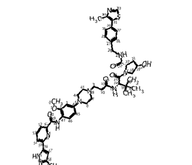 COc1cc(N2CCN(CCC(=O)N[C@H](C(=O)N3C[C@H](O)C[C@H]3C(=O)NCc3ccc(-c4scnc4C)cc3)C(C)(C)C)CC2)ccc1NC(=O)c1cccc(-c2cc(C)n[nH]2)n1